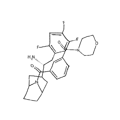 N[C@H](Cc1cc(F)c(F)cc1F)C1CC2CCC(C1)N2C(=O)c1cccc(C(=O)N2CCOCC2)c1